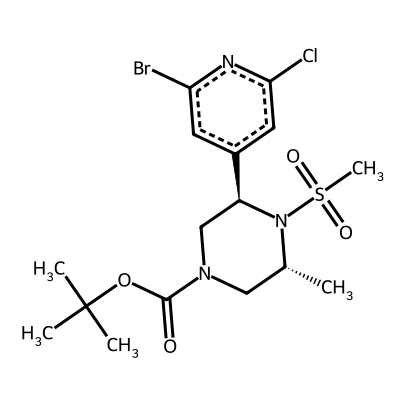 C[C@@H]1CN(C(=O)OC(C)(C)C)C[C@@H](c2cc(Cl)nc(Br)c2)N1S(C)(=O)=O